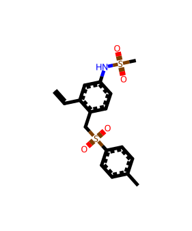 C=Cc1cc(NS(C)(=O)=O)ccc1CS(=O)(=O)c1ccc(C)cc1